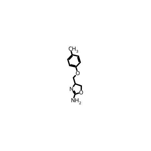 Cc1ccc(OCC2COC(N)=N2)cc1